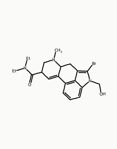 CCN(CC)C(=O)C1C=C2c3cccc4c3c(c(Br)n4CO)CC2N(C)C1